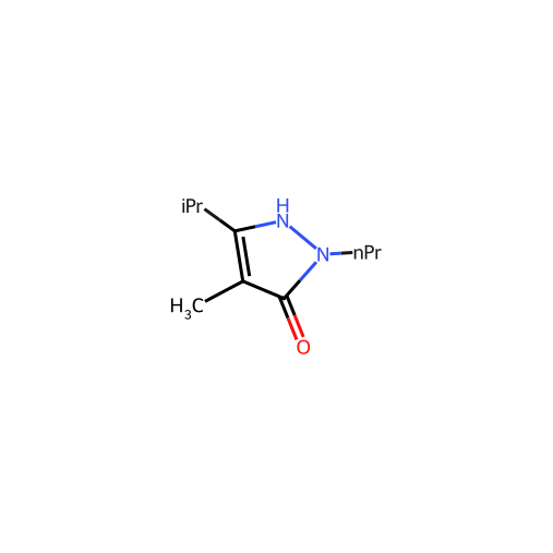 CCCn1[nH]c(C(C)C)c(C)c1=O